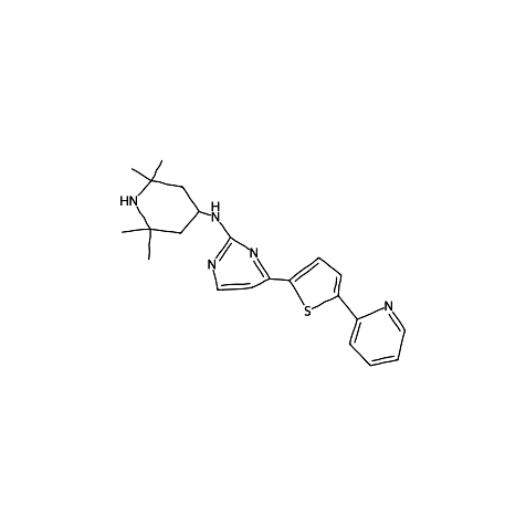 CC1(C)CC(Nc2nccc(-c3ccc(-c4ccccn4)s3)n2)CC(C)(C)N1